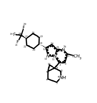 Cc1cc(C23CNCCC2C3)n2nc([C@H]3CC[C@H](C(F)(F)F)CC3)cc2n1